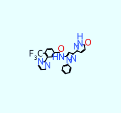 O=C(Nc1cc(-c2ccc(=O)[nH]n2)nn1-c1ccccc1)c1ccc(C(F)(F)F)c(-c2ncccn2)c1